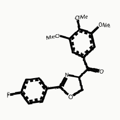 COc1cc(C(=O)C2COC(c3ccc(F)cc3)=N2)cc(OC)c1OC